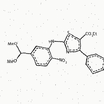 CCOC(=O)c1sc(Nc2cc(C(OC)OC)ccc2[N+](=O)[O-])nc1-c1ccccc1